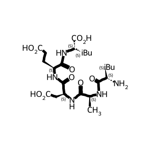 CC[C@H](C)[C@H](N)C(=O)N[C@@H](C)C(=O)N[C@@H](CC(=O)O)C(=O)N[C@@H](CCC(=O)O)C(=O)N[C@H](C(=O)O)[C@@H](C)CC